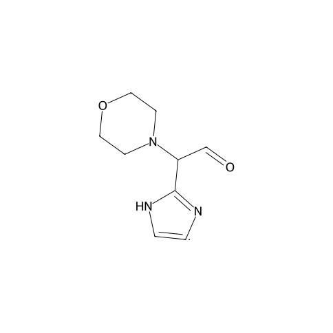 O=CC(c1n[c]c[nH]1)N1CCOCC1